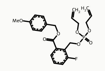 C=CCOP(=O)(OCC=C)OCc1c(F)cccc1C(=O)OCc1ccc(OC)cc1